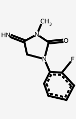 CN1C(=N)CN(c2ccccc2F)C1=O